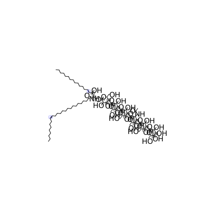 CCCCCCCC/C=C\CCCCCCCCCCCCCC(=O)N[C@@H](CO[C@@H]1OC(CO)[C@@H](O[C@@H]2OC(CO)[C@H](O)[C@H](O[C@H]3OC(CO)[C@H](O)[C@H](O[C@@H]4OC(CO)[C@H](O)[C@H](O[C@@H]5OC(CO)[C@H](O)[C@H](O[C@H]6OC(CO)[C@H](O)[C@H](O)C6O)C5O)C4NC(C)=O)C3O)C2O)[C@H](O)C1O)[C@H](O)/C=C/CCCCCCCCCCCCC